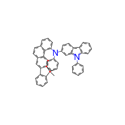 CC1(C)c2ccccc2-c2cc3ccc4cccc(N(c5ccccc5)c5ccc6c7ccccc7n(-c7ccccc7)c6c5)c4c3cc21